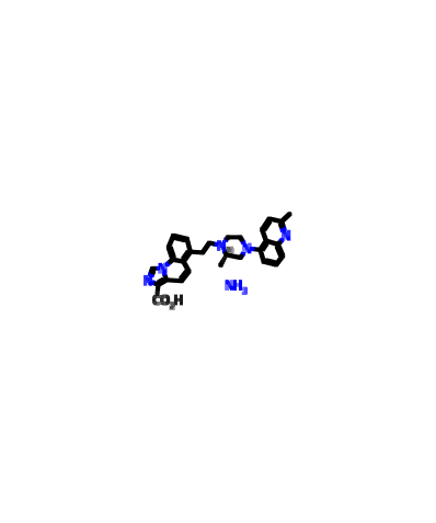 Cc1ccc2c(N3CCN(CCc4cccc5c4ccc4c(C(=O)O)ncn45)[C@H](C)C3)cccc2n1.N